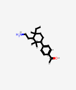 CCC1(C)CCC(c2ccc(C(C)=O)cc2)C(C)(C)C1CCN